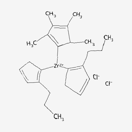 CCCC1=[C]([Zr+2]([C]2=C(CCC)C=CC2)[C]2=C(C)C(C)=C(C)C2C)CC=C1.[Cl-].[Cl-]